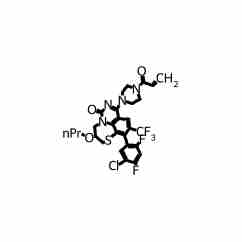 C=CC(=O)N1CCN(c2nc(=O)n3c4c(c(-c5cc(Cl)c(F)cc5F)c(C(F)(F)F)cc24)SCC(OCCC)C3)CC1